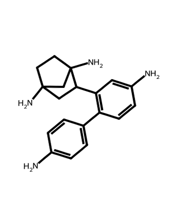 Nc1ccc(-c2ccc(N)cc2C2CC3(N)CCC2(N)C3)cc1